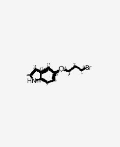 BrCCCOc1ccc2[nH]ccc2c1